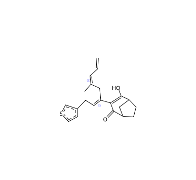 C=C/C=C(/C)C/C(=C\Cc1ccsc1)C1=C(O)C2CCC(C2)C1=O